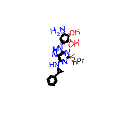 CCCSc1nc(NC2CC2c2ccccc2)c2nnn([C@H]3C[C@@H](N)[C@H](O)[C@@H]3O)c2n1